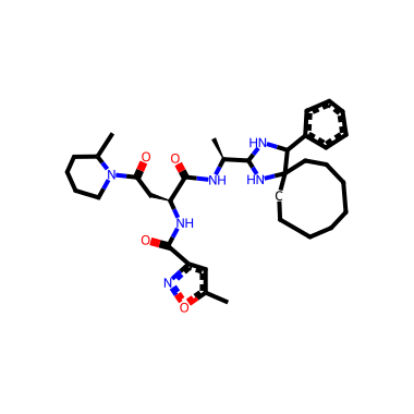 Cc1cc(C(=O)N[C@@H](CC(=O)N2CCCCC2C)C(=O)N[C@@H](C)C2NC(c3ccccc3)C3(CCCCCCCC3)N2)no1